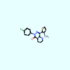 Cc1ccsc1-c1nn(-c2ccc(F)cc2)c(=O)c2cccnc12